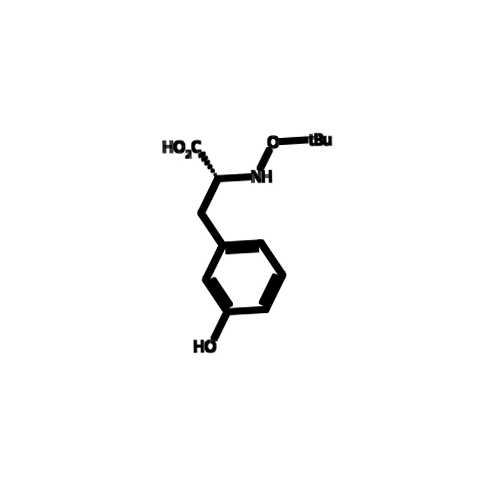 CC(C)(C)ON[C@H](Cc1cccc(O)c1)C(=O)O